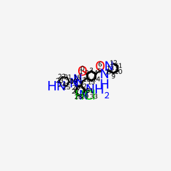 COc1cc(C(=O)Nc2ccccn2)ccc1-c1nn(C2CCCNC2)c2ccnc(N)c12.Cl